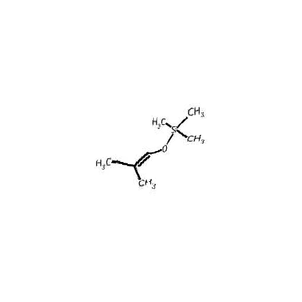 CC(C)=CO[Si](C)(C)C